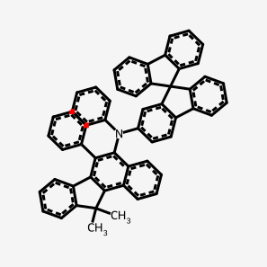 CC1(C)c2ccccc2-c2c(-c3ccccc3)c(N(c3ccccc3)c3ccc4c(c3)C3(c5ccccc5-c5ccccc53)c3ccccc3-4)c3ccccc3c21